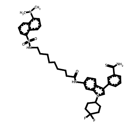 CN(C)c1cccc2c(S(=O)(=O)NCCCCCCCCC(=O)Nc3ccc4c(-c5cccc(C(N)=S)c5)cn(C5CCC(F)(F)CC5)c4c3)cccc12